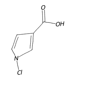 O=C(O)c1ccn(Cl)c1